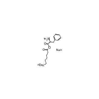 CCCCCCCCCCCCCCCC(=O)OC(=O)C(N)Cc1ccccc1.[NaH]